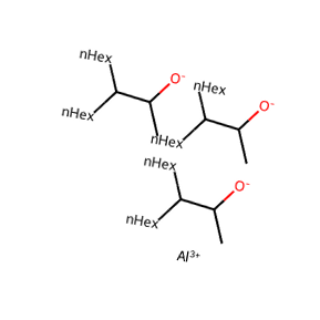 CCCCCCC(CCCCCC)C(C)[O-].CCCCCCC(CCCCCC)C(C)[O-].CCCCCCC(CCCCCC)C(C)[O-].[Al+3]